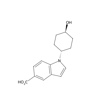 O=C(O)c1ccc2c(ccn2[C@H]2CC[C@H](O)CC2)c1